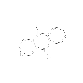 [O-][n+]1c2ccccc2[n+]([O-])c2cnncc21